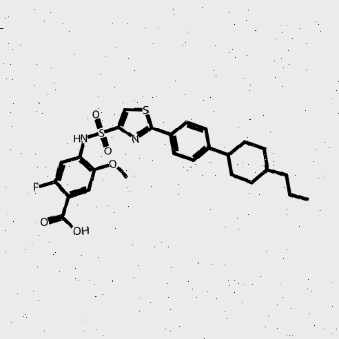 CCCC1CCC(c2ccc(-c3nc(S(=O)(=O)Nc4cc(F)c(C(=O)O)cc4OC)cs3)cc2)CC1